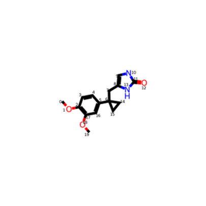 COc1ccc(C2(CC3=C[N]C(=O)N3)CC2)cc1OC